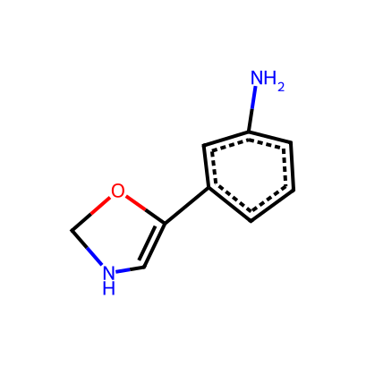 Nc1cccc(C2=CNCO2)c1